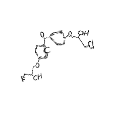 O=C(c1ccc(OCC(O)CF)cc1)c1ccc(OCC(O)CCl)cc1